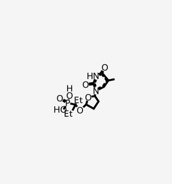 CCC(CC)(OC1CCC(n2cc(C)c(=O)[nH]c2=O)O1)P(=O)(O)O